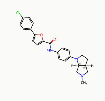 CN1C[C@@H]2CCN(c3ccc(NC(=O)c4ccc(-c5ccc(Cl)cc5)o4)cc3)[C@@H]2C1